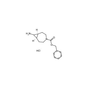 Cl.NC1[C@H]2CCN(C(=O)OCc3ccccc3)CC[C@@H]12